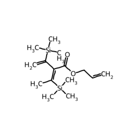 C=CCOC(=O)C(C(=C)[Si](C)(C)C)=C(C)[Si](C)(C)C